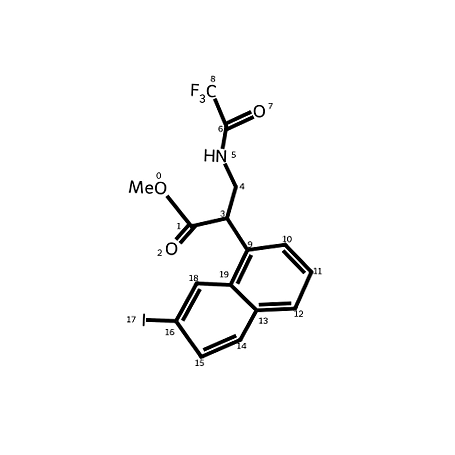 COC(=O)C(CNC(=O)C(F)(F)F)c1cccc2ccc(I)cc12